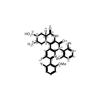 COc1cccc(F)c1-c1nc2c(cc1F)c1c(c(=O)n2-c2c(C(C)C)ncnc2C(C)C)NC(=O)[C@H]2CN(C(=O)O)[C@H](C)CN12